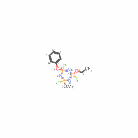 COP1(F)=NP(F)(Oc2ccccc2)=NP(F)(OCC(F)(F)F)=N1